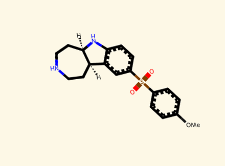 COc1ccc(S(=O)(=O)c2ccc3c(c2)[C@H]2CCNCC[C@H]2N3)cc1